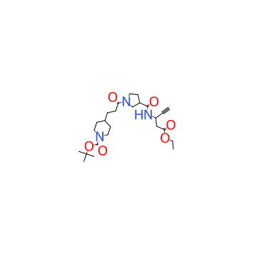 C#CC(CC(=O)OCC)NC(=O)C1CCN(C(=O)CCC2CCN(C(=O)OC(C)(C)C)CC2)C1